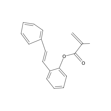 C=C(C)C(=O)Oc1ccccc1C=Cc1ccccc1